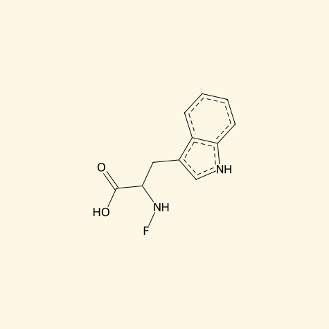 O=C(O)C(Cc1c[nH]c2ccccc12)NF